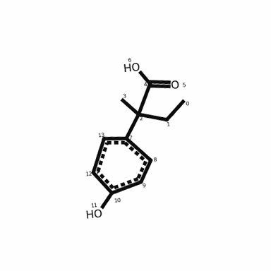 CCC(C)(C(=O)O)c1ccc(O)cc1